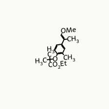 CCOC(=O)C(C)(C)Oc1ccc(C(C)=COC)cc1C